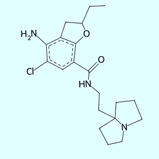 CCC1Cc2c(N)c(Cl)cc(C(=O)NCCC34CCCN3CCC4)c2O1